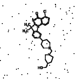 CC1(C)c2ccc(C3CCN(CC4CCC(CO)CC4)CC3)cc2-n2c1nc(=O)c1c(Cl)cccc12